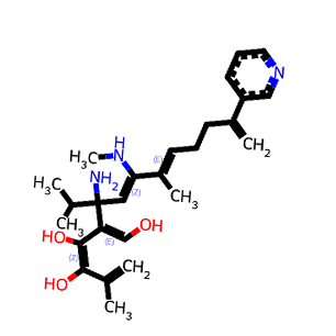 C=C(C)/C(O)=C(O)\C(=C\O)C(N)(/C=C(NC)/C(C)=C/CCC(=C)c1cccnc1)C(C)C